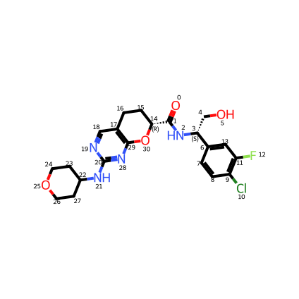 O=C(N[C@H](CO)c1ccc(Cl)c(F)c1)[C@H]1CCc2cnc(NC3CCOCC3)nc2O1